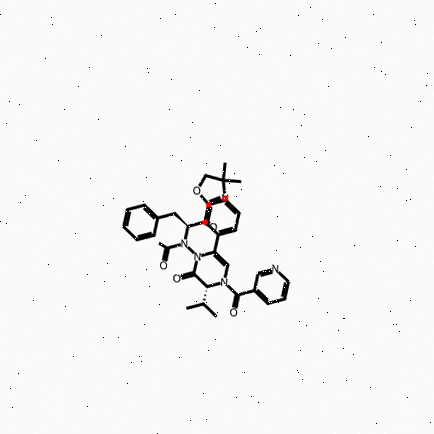 CC(=O)N([C@@H](Cc1ccccc1)C(=O)C1=NC(C)(C)CO1)N1C(=O)[C@@H](C(C)C)N(C(=O)c2cccnc2)C=C1c1ccccc1